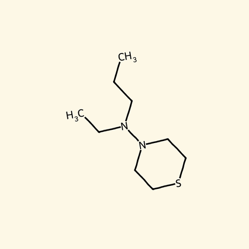 CCCN(CC)N1CCSCC1